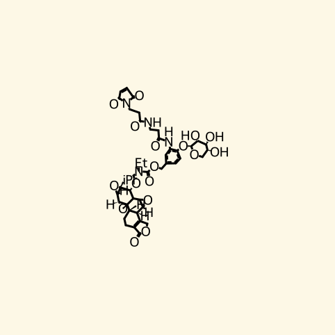 CCN(CO[C@H]1C2[C@H]3O[C@H]3[C@H]3C4=C(CC[C@]3(C)[C@@]23O[C@H]3[C@@H]2O[C@]12C(C)C)C(=O)OC4)C(=O)OCc1ccc(O[C@@H]2OC[C@@H](O)[C@H](O)C2O)c(NC(=O)CCNC(=O)CCN2C(=O)C=CC2=O)c1